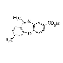 CCOC(=O)c1ccc2c(c1)N=C(C)c1ccc(C)cc1O2